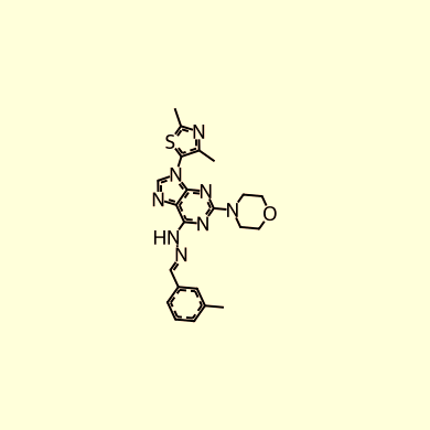 Cc1cccc(C=NNc2nc(N3CCOCC3)nc3c2ncn3-c2sc(C)nc2C)c1